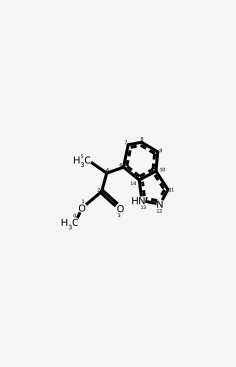 COC(=O)C(C)c1cccc2cn[nH]c12